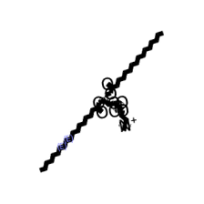 CCCCCC/C=C/C=C/CCCCCCCC(=O)O[C@H](COC(=O)CCCCCCCCCCCCCCC)COP(=O)([O-])OCC[N+](C)(C)C